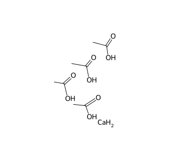 CC(=O)O.CC(=O)O.CC(=O)O.CC(=O)O.[CaH2]